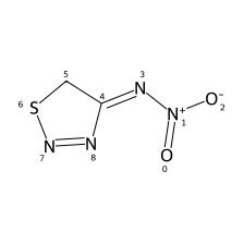 O=[N+]([O-])N=C1CSN=N1